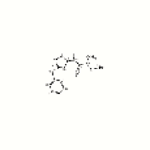 CC(C)C[C@H](N)C(=O)N[C@@H]1CCN(Cc2ccccc2)C1